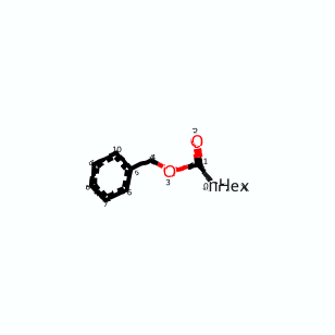 C[CH]CCCCC(=O)OCc1ccccc1